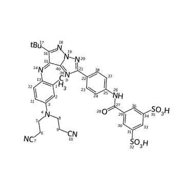 Cc1cc(N(CCC#N)CCC#N)ccc1/N=C1/C(C(C)(C)C)=Nn2nc(-c3ccc(NC(=O)c4cc(S(=O)(=O)O)cc(S(=O)(=O)O)c4)cc3)nc21